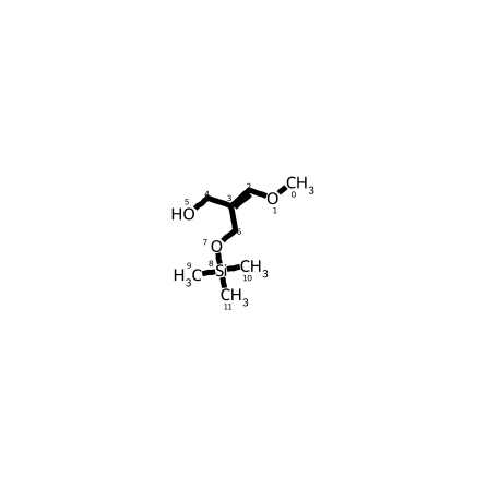 COC=C(CO)CO[Si](C)(C)C